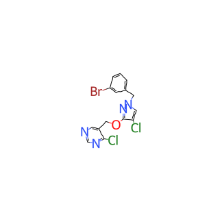 Clc1cn(Cc2cccc(Br)c2)nc1OCc1cncnc1Cl